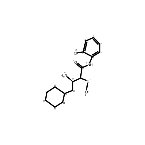 CCOC(C(=O)Nc1ccccc1Cl)[C@H](N)CC1CCCCC1